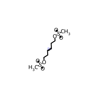 CS(=O)(=O)OCC/C=C/CCOS(C)(=O)=O